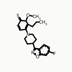 CCCC1=C(N2CCC(c3noc4cc(F)ccc34)CC2)C=[C]C(=S)C1OC